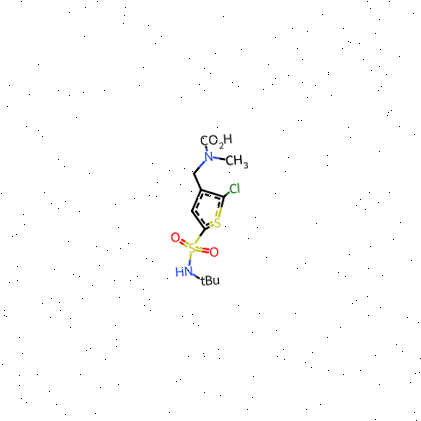 CN(Cc1cc(S(=O)(=O)NC(C)(C)C)sc1Cl)C(=O)O